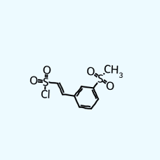 CS(=O)(=O)c1cccc(C=CS(=O)(=O)Cl)c1